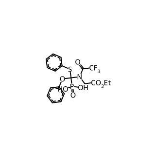 CCOC(=O)CN(C(=O)C(F)(F)F)C(Oc1ccccc1)(Sc1ccccc1)P(=O)(O)O